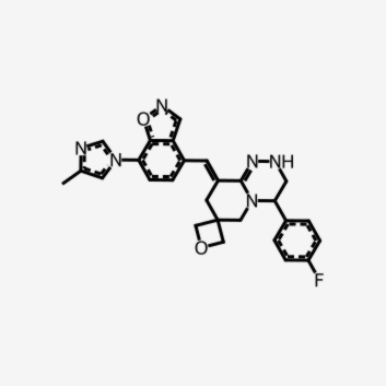 Cc1cn(-c2ccc(/C=C3\CC4(COC4)CN4C3=NNCC4c3ccc(F)cc3)c3cnoc23)cn1